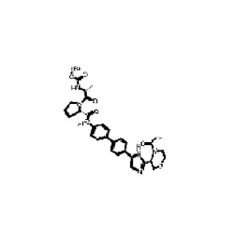 CC(C)C(=O)N1CCOC[C@H]1c1ncc(-c2ccc(-c3ccc(NC(=O)[C@@H]4CCCN4C(=O)[C@@H](C)NC(=O)OC(C)(C)C)cc3)cc2)[nH]1